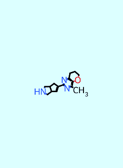 Cc1nc(C2=CC3CNCC3C2)nc2c1OCCC2